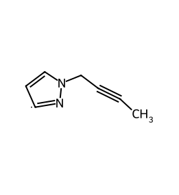 CC#CCn1cc[c]n1